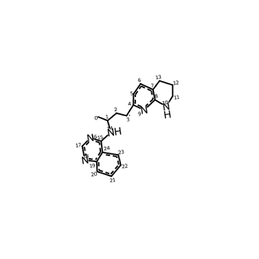 CC(C[CH]c1ccc2c(n1)NCCC2)Nc1ncnc2ccccc12